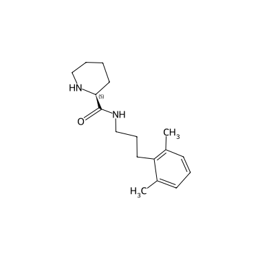 Cc1cccc(C)c1CCCNC(=O)[C@@H]1CCCCN1